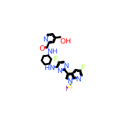 O=C(N[C@@H]1CCC[C@H](Nc2nc(-c3cn(SI)c4ncc(F)cc34)ncc2F)C1)c1cc(CO)ccn1